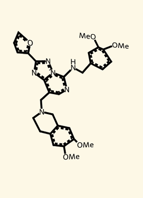 COc1ccc(CNc2ncc(CN3CCc4cc(OC)c(OC)cc4C3)c3nc(-c4ccco4)nn23)cc1OC